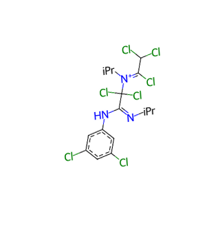 CC(C)N=C(Nc1cc(Cl)cc(Cl)c1)C(Cl)(Cl)[N+](=C(Cl)C(Cl)Cl)C(C)C